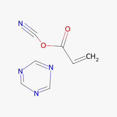 C=CC(=O)OC#N.c1ncncn1